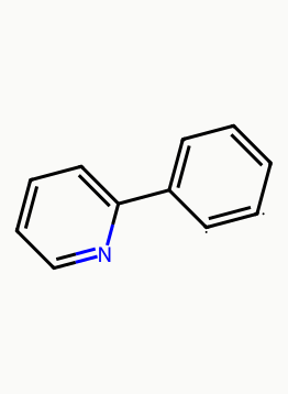 [c]1[c]c(-c2ccccn2)ccc1